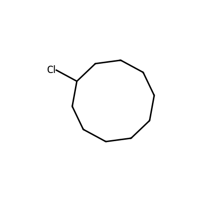 ClC1CCCCCCCCC1